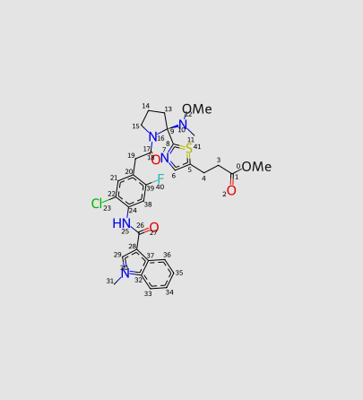 COC(=O)CCc1cnc([C@@]2(N(C)OC)CCCN2C(=O)Cc2cc(Cl)c(NC(=O)c3cn(C)c4ccccc34)cc2F)s1